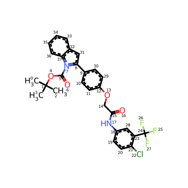 CC(C)(C)OC(=O)n1c(-c2ccc(OCC(=O)Nc3ccc(Cl)c(C(F)(F)F)c3)cc2)cc2ccccc21